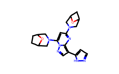 c1cc(-c2cnn3c(N4CC5CCC(C4)O5)cc(N4CC5CC(C4)O5)nc23)[nH]n1